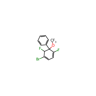 FC1=CC=C(Br)C(F)C1(OC(F)(F)F)c1ccccc1